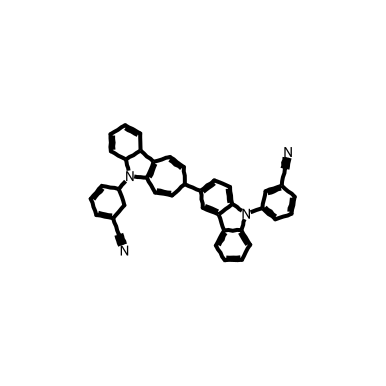 N#CC1=CC=CC(N2C3=C(C=CC(c4ccc5c(c4)c4ccccc4n5-c4cccc(C#N)c4)C=C3)C3C=CC=CC32)C1